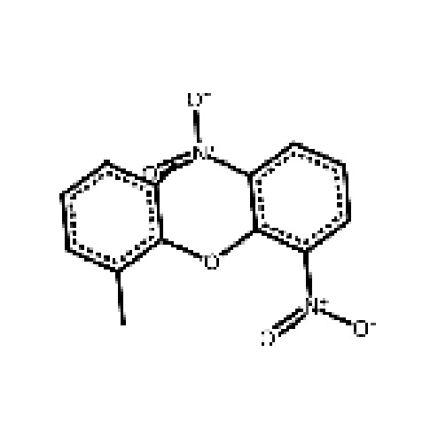 Cc1cccc(C)c1Oc1c([N+](=O)[O-])cccc1[N+](=O)[O-]